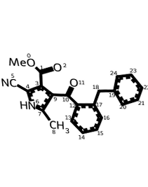 COC(=O)c1c(C#N)[nH]c(C)c1C(=O)c1ccccc1Cc1ccccc1